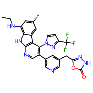 CCNc1cc(F)cc2c1[nH]c1ncc(-c3cncc(Cc4n[nH]c(=O)o4)c3)c(-n3ccc(C(F)(F)F)n3)c12